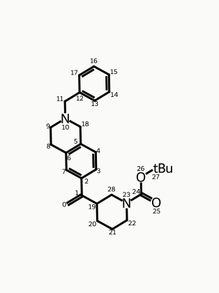 C=C(c1ccc2c(c1)CCN(Cc1ccccc1)C2)C1CCCN(C(=O)OC(C)(C)C)C1